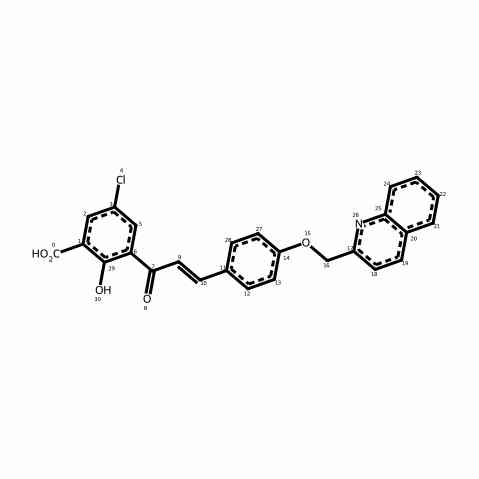 O=C(O)c1cc(Cl)cc(C(=O)/C=C/c2ccc(OCc3ccc4ccccc4n3)cc2)c1O